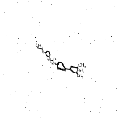 C=C/C=C(\C=C(\C)N)c1ccc(NC(=O)Nc2cccc(OCCC)c2)cc1